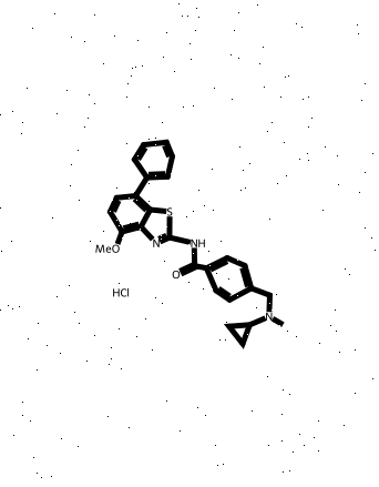 COc1ccc(-c2ccccc2)c2sc(NC(=O)c3ccc(CN(C)C4CC4)cc3)nc12.Cl